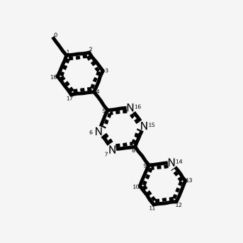 Cc1ccc(-c2nnc(-c3ccccn3)nn2)cc1